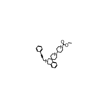 CCOC(=O)N1CCC(N2CCC3(CC2)CN(CC#Cc2ccccc2)Cc2ccccc23)CC1